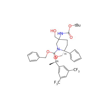 C[C@@H](OC[C@@]1(c2ccccc2)CCC(CO)(NC(=O)OC(C)(C)C)CN1C(=O)OCc1ccccc1)c1cc(C(F)(F)F)cc(C(F)(F)F)c1